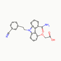 N#Cc1cccc(CCn2c3cccc(OCC(=O)O)c3c3c(C(N)=O)cccc32)c1